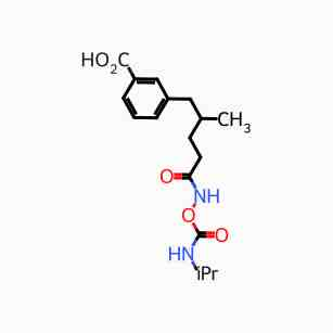 CC(CCC(=O)NOC(=O)NC(C)C)Cc1cccc(C(=O)O)c1